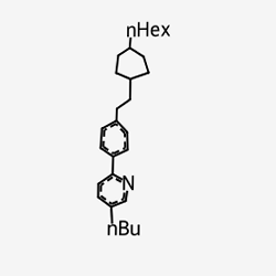 CCCCCCC1CCC(CCc2ccc(-c3ccc(CCCC)cn3)cc2)CC1